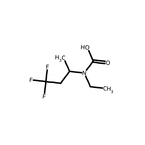 CCN(C(=O)O)C(C)CC(F)(F)F